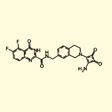 Nc1c(N2CCc3ccc(CNC(=O)c4nc5ccc(F)c(F)c5c(=O)[nH]4)cc3C2)c(=O)c1=O